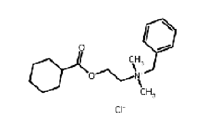 C[N+](C)(CCOC(=O)C1CCCCC1)Cc1ccccc1.[Cl-]